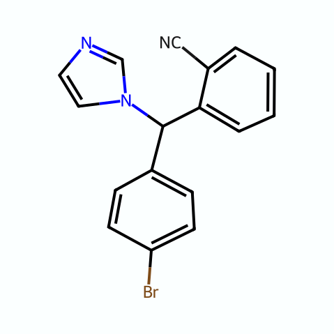 N#Cc1ccccc1C(c1ccc(Br)cc1)n1ccnc1